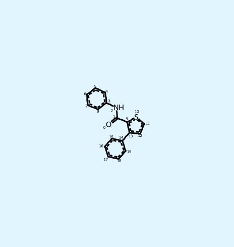 O=C(Nc1ccccc1)c1sccc1-c1ccccc1